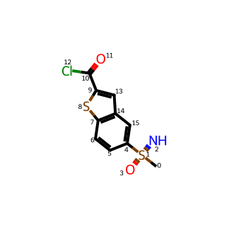 CS(=N)(=O)c1ccc2sc(C(=O)Cl)cc2c1